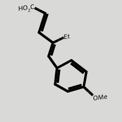 CCC(/C=C/C(=O)O)=C\c1ccc(OC)cc1